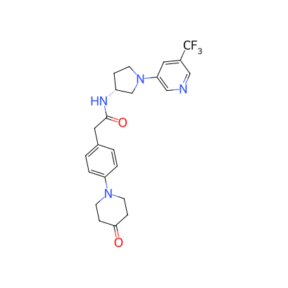 O=C1CCN(c2ccc(CC(=O)N[C@@H]3CCN(c4cncc(C(F)(F)F)c4)C3)cc2)CC1